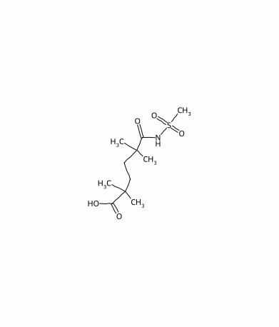 CC(C)(CCC(C)(C)C(=O)NS(C)(=O)=O)C(=O)O